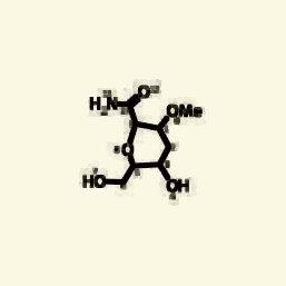 COC1CC(O)C(CO)OC1C(N)=O